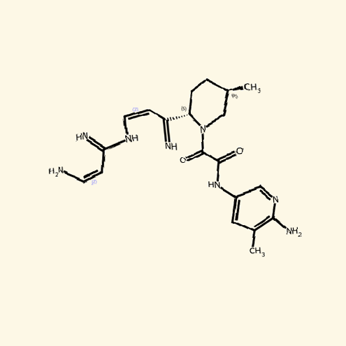 Cc1cc(NC(=O)C(=O)N2C[C@H](C)CC[C@H]2C(=N)/C=C\NC(=N)/C=C\N)cnc1N